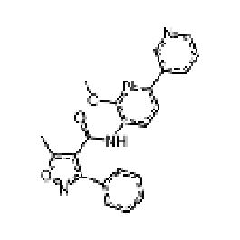 COc1nc(-c2cccnc2)ccc1NC(=O)c1c(-c2ccccc2)noc1C